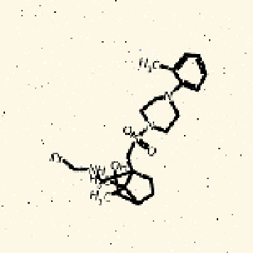 Cc1ccccc1N1CCN(S(=O)(=O)CC23CCC(CC2(O)CNCC(C)C)C3(C)C)CC1